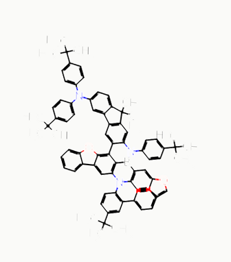 CC(C)(C)c1ccc(N2B3c4cc5occc5cc4N(c4ccc(C(C)(C)C)cc4-c4ccccc4)c4cc5c(oc6ccccc65)c(c43)-c3cc4c(cc32)C(C)(C)c2ccc(N(c3ccc(C(C)(C)C)cc3)c3ccc(C(C)(C)C)cc3)cc2-4)cc1